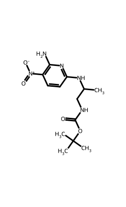 CC(CNC(=O)OC(C)(C)C)Nc1ccc([N+](=O)[O-])c(N)n1